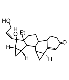 CCC12CCC3C4CCC(=O)C=C4[C@H]4CC4C3C1[C@@H]1C[C@@H]1C2(O)/C=C\CO